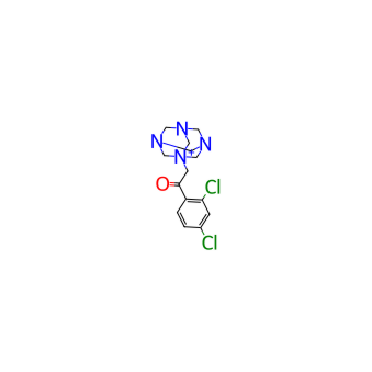 O=C(C[N+]12CN3CN(CN(C3)C1)C2)c1ccc(Cl)cc1Cl